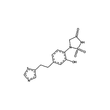 O=C1CN(c2ccc(CCc3cncs3)cc2O)S(=O)(=O)N1